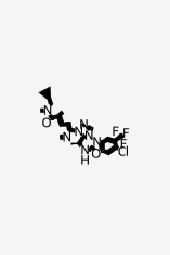 C=N/C(=C\C=C(/C)C(=O)N(C)CC1CC1)n1ncnc1[C@H](C)Nc1nc2cc(C(F)(F)F)c(Cl)cc2o1